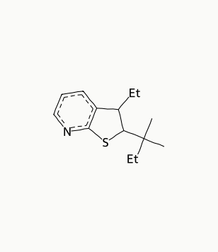 CCC1c2cccnc2SC1C(C)(C)CC